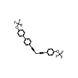 FC(F)(F)Oc1ccc(C#CCC#Cc2ccc(-c3ccc(OC(F)(F)F)cc3)cc2)cc1